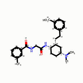 CCN(C)[C@@H]1CC[C@H](NC(=O)CNC(=O)c2cccc(C(F)(F)F)c2)[C@H](CCc2cccc(C(=O)O)c2)C1